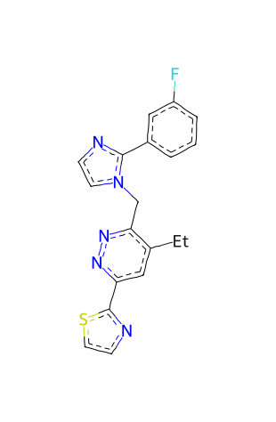 CCc1cc(-c2nccs2)nnc1Cn1ccnc1-c1cccc(F)c1